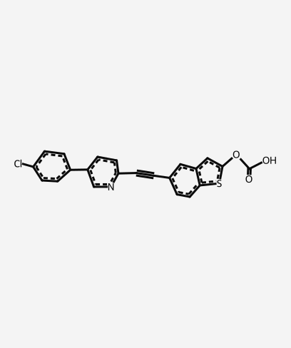 O=C(O)Oc1cc2cc(C#Cc3ccc(-c4ccc(Cl)cc4)cn3)ccc2s1